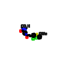 COc1ccccc1Sc1ccc(/C=C/C(=O)N2CCC(C(=O)NCC(=O)O)CC2)c(Cl)c1Cl